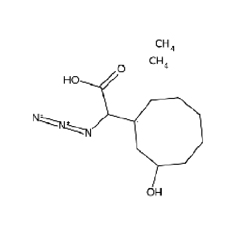 C.C.[N-]=[N+]=NC([C]1CCCCCC(O)C1)C(=O)O